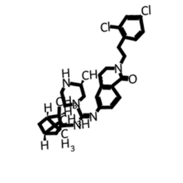 C[C@H]1CN(C(=Nc2ccc3c(c2)CCN(CCc2ccc(Cl)cc2Cl)C3=O)NC2C[C@@H]3C[C@@H]([C@H]2C)C3(C)C)CCN1